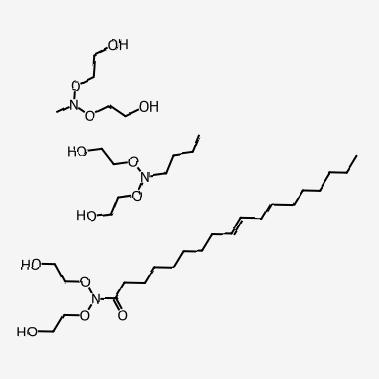 CCCCCCCCC=CCCCCCCCC(=O)N(OCCO)OCCO.CCCCN(OCCO)OCCO.CN(OCCO)OCCO